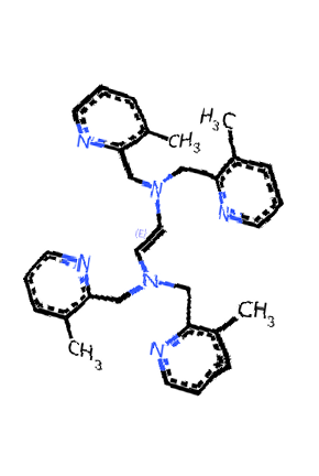 Cc1cccnc1CN(/C=C/N(Cc1ncccc1C)Cc1ncccc1C)Cc1ncccc1C